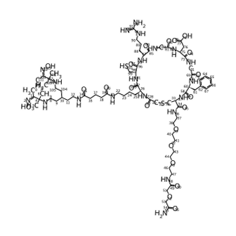 C/C(=N/O)C(C)(C)NCCC(CCNC(=O)CCCC(=O)NCCCC[C@@H]1NC(=O)CSCC(C(=O)NCCOCCOCCOCCNC(=O)COCC(N)=O)NC(=O)[C@H](Cc2ccccc2)NC(=O)CNC(=O)C(CC(=O)O)NC(=O)CNC(=O)[C@H](CCCNC(=N)N)NC(=O)[C@H](CS)NC1=O)CCNC(C)(C)/C(C)=N\O